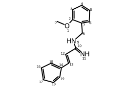 COc1ccccc1CNC(=N)/C=C/c1ccccc1